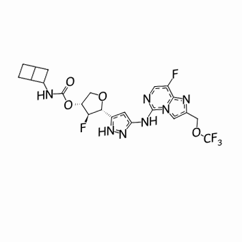 O=C(NC1CC2CCC21)O[C@@H]1CO[C@H](c2cc(Nc3ncc(F)c4nc(COC(F)(F)F)cn34)n[nH]2)[C@H]1F